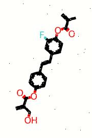 C=C(C)C(=O)Oc1ccc(/C=C/c2ccc(OC(=O)C(=C)CO)cc2)cc1F